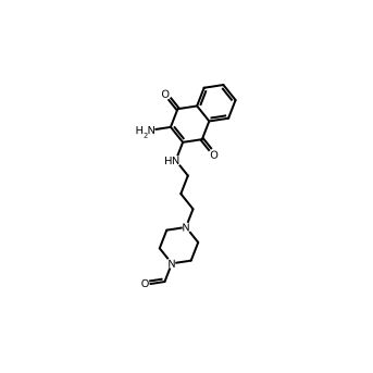 NC1=C(NCCCN2CCN(C=O)CC2)C(=O)c2ccccc2C1=O